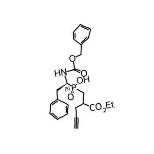 C#CCC(CP(=O)(O)[C@@H](Cc1ccccc1)NC(=O)OCc1ccccc1)C(=O)OCC